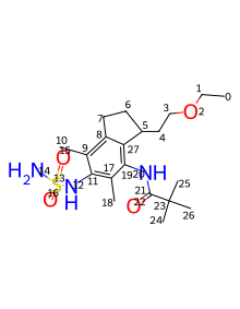 CCOCCC1CCc2c(C)c(NS(N)(=O)=O)c(C)c(NC(=O)C(C)(C)C)c21